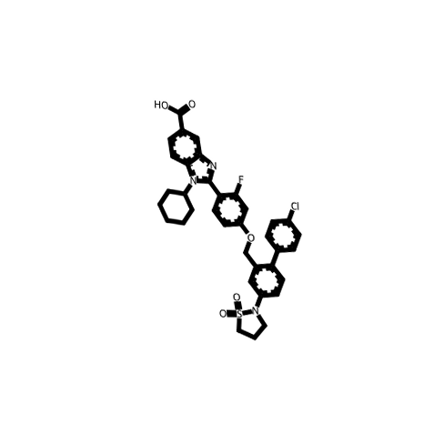 O=C(O)c1ccc2c(c1)nc(-c1ccc(OCc3cc(N4CCCS4(=O)=O)ccc3-c3ccc(Cl)cc3)cc1F)n2C1CCCCC1